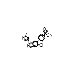 C[C@H]1C[C@H](c2cc3c(cnn3-c3cnn(C)c3)cc2Cl)CCN1C1(C#N)COC1